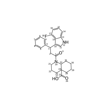 O=C(CC(c1ccccc1)c1c[nH]c2cccc(F)c12)N1CCCC2(C(=O)O)CCCCC12